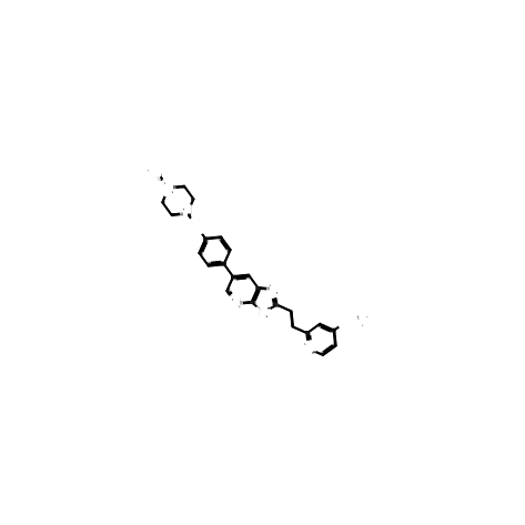 COc1ccnc(CCc2nc3cc(-c4ccc(S(=O)(=O)N5CCN(C(C)=O)CC5)cc4)cnc3[nH]2)c1